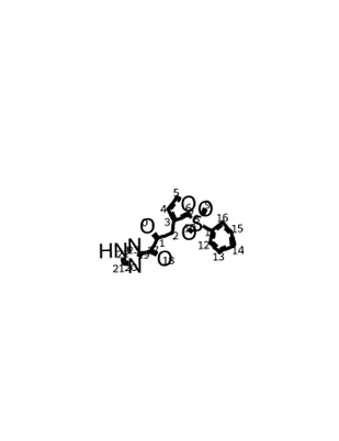 O=C(Cc1ccoc1S(=O)(=O)c1ccccc1)C(=O)c1nc[nH]n1